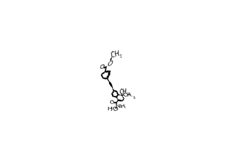 CCOC(=O)c1ccc(C#Cc2ccc3c(c2)C(C)(C)CC=C3C(=O)NO)cc1